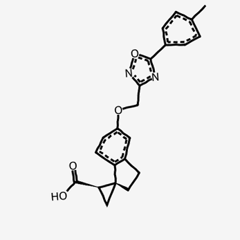 Cc1ccc(-c2nc(COc3ccc4c(c3)CC[C@]43C[C@H]3C(=O)O)no2)cc1